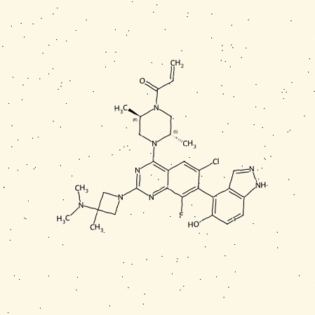 C=CC(=O)N1C[C@H](C)N(c2nc(N3CC(C)(N(C)C)C3)nc3c(F)c(-c4c(O)ccc5[nH]ncc45)c(Cl)cc23)C[C@H]1C